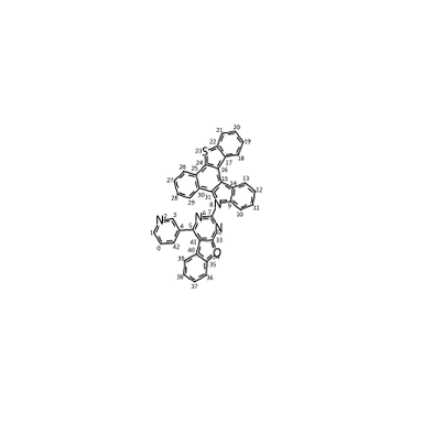 c1cncc(-c2nc(-n3c4ccccc4c4c5c6ccccc6sc5c5ccccc5c43)nc3oc4ccccc4c23)c1